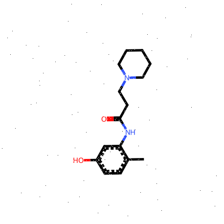 Cc1ccc(O)cc1NC(=O)CCN1CCCCC1